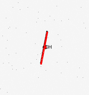 C=C(C)C(=O)O.CCCCCCCCCCCCCCCCCCCCCCOCCCCCCCCCCCCCCCCCCCCCC